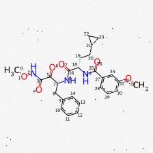 CONC(=O)C(=O)C(Cc1ccccc1)NC(=O)[C@H](CCC1CC1)NC(=O)c1cccc(OC)c1